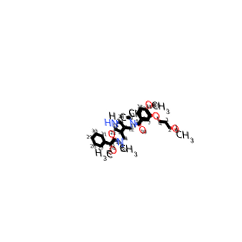 COCCCOc1cc(C(=O)N(CC2CNCC2CN(C)C(=O)[C@@H](OC)C2CCCCC2)C(C)C)ccc1OC